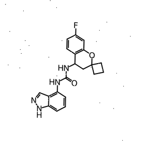 O=C(Nc1cccc2[nH]ncc12)NC1CC2(CCC2)Oc2cc(F)ccc21